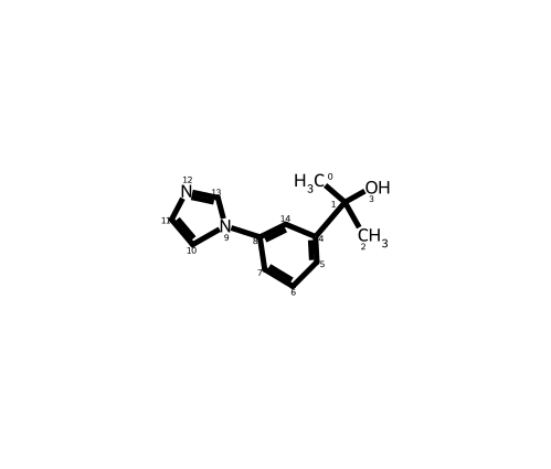 CC(C)(O)c1cccc(-n2ccnc2)c1